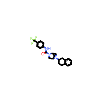 O=C(Nc1ccc(C(F)(F)F)cc1)N1CC2CC1CN2C1CCc2ccccc2C1